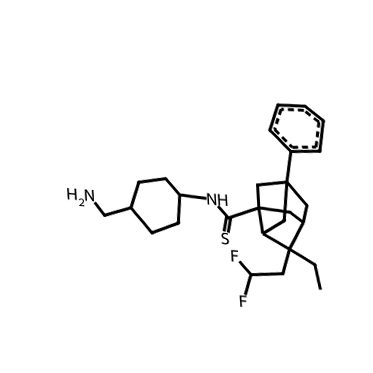 CCC1(CC(F)F)C2CC3(c4ccccc4)CC1C(C(=S)NC1CCC(CN)CC1)(C2)C3